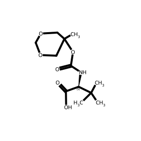 CC1(OC(=O)N[C@H](C(=O)O)C(C)(C)C)COCOC1